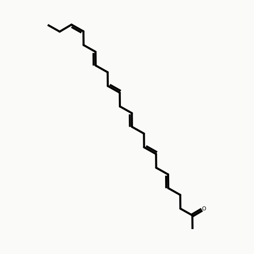 CC/C=C\C/C=C/C/C=C/C/C=C/C/C=C/C/C=C/CCC(C)=O